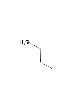 CCC[SiH3]